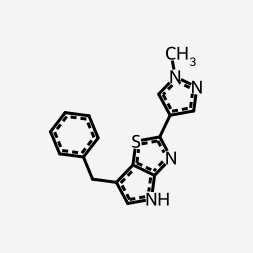 Cn1cc(-c2nc3[nH]cc(Cc4ccccc4)c3s2)cn1